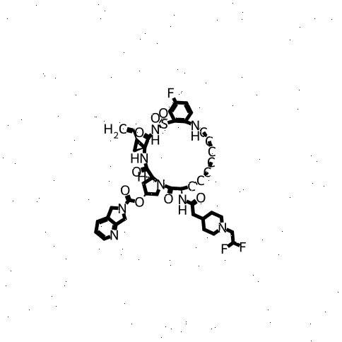 C=C[C@@H]1C[C@@]12NC(=O)[C@@H]1C[C@@H](OC(=O)N3Cc4cccnc4C3)CN1C(=O)[C@@H](NC(=O)CC1CCN(CC(F)F)CC1)CCCCCCCNc1ccc(F)cc1S(=O)(=O)NC2=O